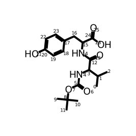 CC(C)C(NC(=O)OC(C)(C)C)C(=O)NC(Cc1ccc(O)cc1)C(=O)O